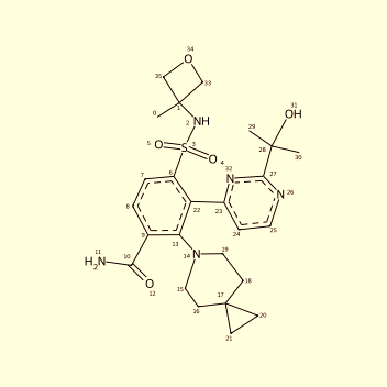 CC1(NS(=O)(=O)c2ccc(C(N)=O)c(N3CCC4(CC3)CC4)c2-c2ccnc(C(C)(C)O)n2)COC1